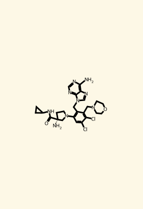 Nc1ncnc2c1ncn2Cc1c(N2CC[C@](N)(C(=O)NC3CC3)C2)cc(Cl)c(Cl)c1CN1CCOCC1